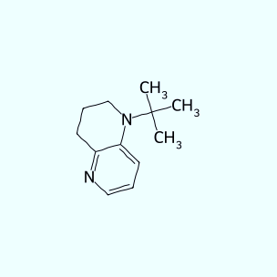 CC(C)(C)N1CCCc2ncccc21